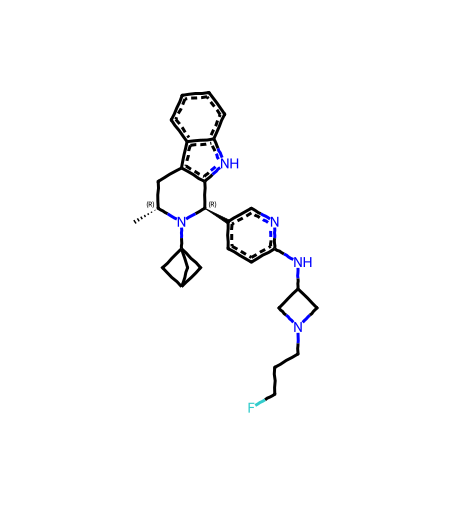 C[C@@H]1Cc2c([nH]c3ccccc23)[C@@H](c2ccc(NC3CN(CCCF)C3)nc2)N1C12CC(C1)C2